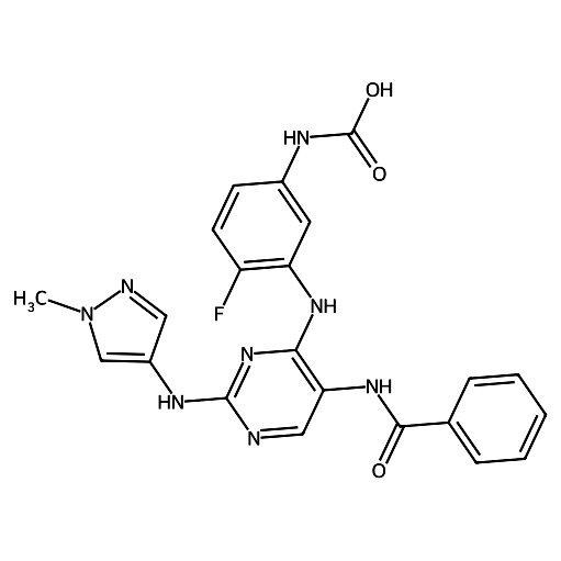 Cn1cc(Nc2ncc(NC(=O)c3ccccc3)c(Nc3cc(NC(=O)O)ccc3F)n2)cn1